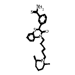 CC1CCCC(C)N1CCCCCN1C(=O)C(c2cccc(C(N)=S)c2)Sc2ccccc21